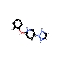 [CH2]c1ccccc1Oc1ccc(-n2nccn2)cn1